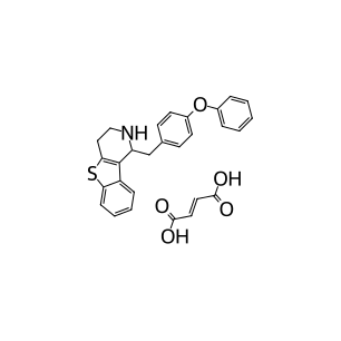 O=C(O)C=CC(=O)O.c1ccc(Oc2ccc(CC3NCCc4sc5ccccc5c43)cc2)cc1